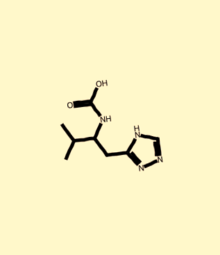 CC(C)C(Cc1nnc[nH]1)NC(=O)O